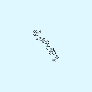 Cc1c(Nc2nccc3cc(CN4CC[C@@H](O)C4)cnc23)cccc1-c1cccc(-c2nc3c(o2)CN(C(=O)CN2CCC(C(=O)O)C2)C3)c1C